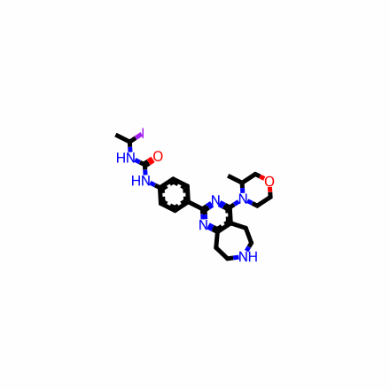 CC(I)NC(=O)Nc1ccc(-c2nc3c(c(N4CCOCC4C)n2)CCNCC3)cc1